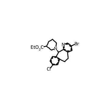 CCOC(=O)C1CCCN(C2c3ccc(Cl)cc3CCc3cc(Br)cnc32)C1